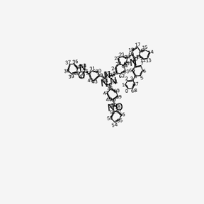 c1ccc(-c2cccc(-n3c4c5ccccc5ccc4c4ccc5cc(-c6nc(-c7ccc(-c8nc9ccccc9o8)cc7)nc(-c7ccc(-c8nc9ccccc9o8)cc7)n6)ccc5c43)c2)cc1